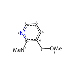 CNc1nc[c]cc1COC